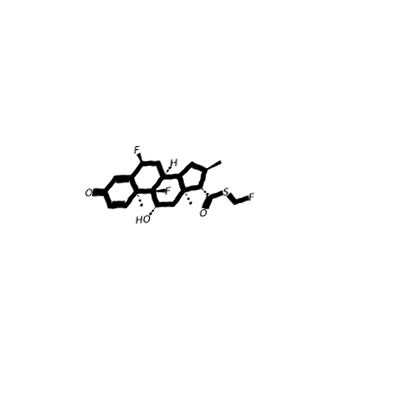 C[C@@H]1CC2[C@@H]3C[C@H](F)C4=CC(=O)C=C[C@]4(C)[C@@]3(F)[C@@H](O)C[C@]2(C)[C@H]1C(=O)SCF